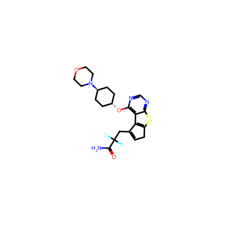 NC(=O)C(F)(F)CC1=CCc2sc3ncnc(O[C@H]4CC[C@H](N5CCOCC5)CC4)c3c21